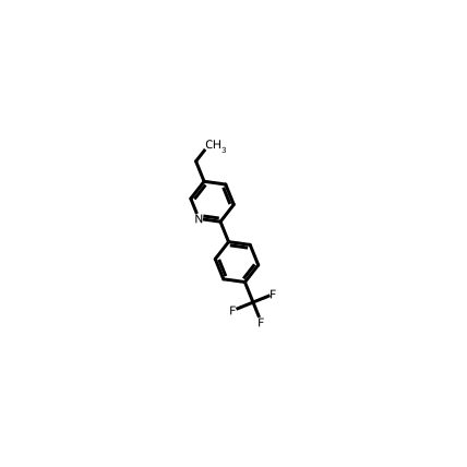 CCc1ccc(-c2ccc(C(F)(F)F)cc2)nc1